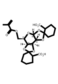 C=C(C)C(=O)OC[C@H]1O[C@@H]2OC3(CCCCC3C(=O)O)O[C@@H]2[C@H]2OC3(CCCCC3C(=O)O)O[C@H]21